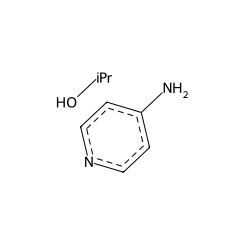 CC(C)O.Nc1ccncc1